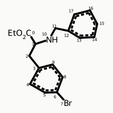 CCOC(=O)C(Cc1ccc(Br)cc1)NCc1ccccc1